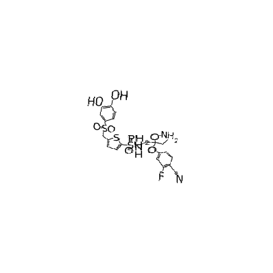 CCC(CN[SH](=O)(P)c1ccc(CS(=O)(=O)c2ccc(O)c(O)c2)s1)(ON)Oc1ccc(C#N)c(F)c1